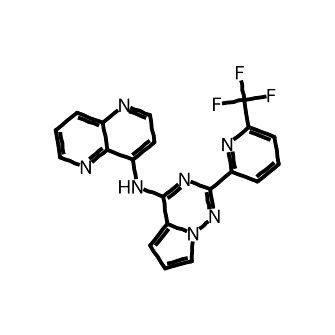 FC(F)(F)c1cccc(-c2nc(Nc3ccnc4cccnc34)c3cccn3n2)n1